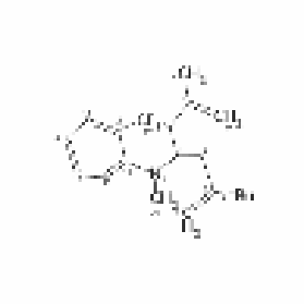 C=C(C)C/C(=C/C(=C)C(C)(C)C)N(C)c1ccccc1C(F)(F)F